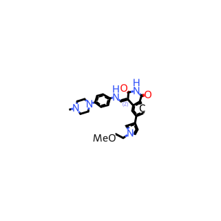 COCCn1ccc(-c2ccc3c(c2)/C(=C/Nc2ccc(N4CCN(C)CC4)cc2)C(=O)NC3=O)c1